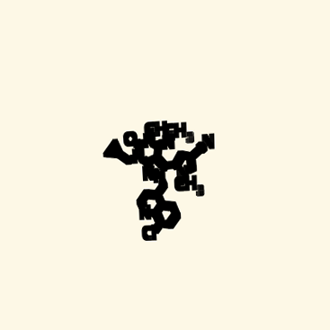 CN=c1c2c(-c3cc(C#N)cn3C)n(Cc3ccnc4c(Cl)cccc34)nc2n(CC2CC2)c(=O)n1C